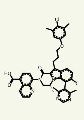 Cc1cc(OCCCc2c3n(c4c(-c5c(C)ncnc5C)c(Cl)ccc24)[C@H](C)CN(c2ccc(C(=O)O)c4cccnc24)C3=O)cc(C)c1Cl